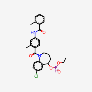 CCO[PH](=O)OC1CCCN(C(=O)c2ccc(NC(=O)c3ccccc3C)cc2C)c2ccc(Cl)cc21